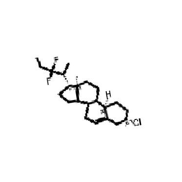 CCC(F)(F)C(C)[C@H]1CCC2C3CC=C4C[C@@H](O)CC[C@@H]4C3CC[C@@]21C